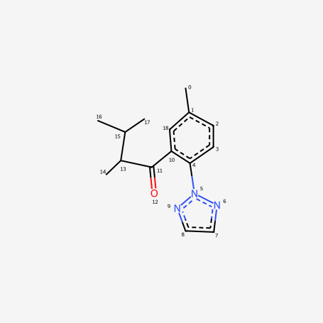 Cc1ccc(-n2nccn2)c(C(=O)C(C)C(C)C)c1